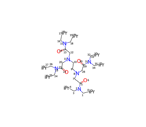 CC(C)CN(CC(C)C)C(=O)CN(CCN(CC(=O)N(CC(C)C)CC(C)C)CC(=O)N(CC(C)C)CC(C)C)CC(=O)N(CC(C)C)CC(C)C